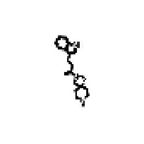 C=C(CCc1c[nH]c2ccccc12)N1CSC2(CCN(C)CC2)C1